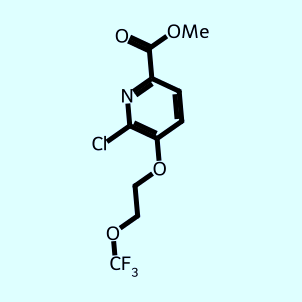 COC(=O)c1ccc(OCCOC(F)(F)F)c(Cl)n1